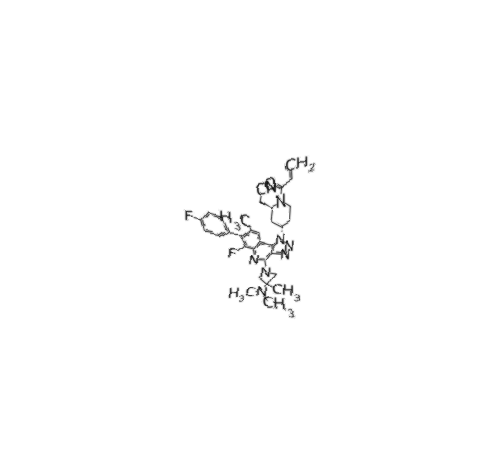 C=CC(=O)N1CC[C@H](n2nnc3c(N4CC(C)(N(C)C)C4)nc4c(F)c(-c5ccc(F)cc5)c(C)cc4c32)C[C@H]1CC#N